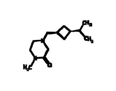 CC(C)[C@H]1C[C@@H](CN2CCN(C)C(=O)C2)C1